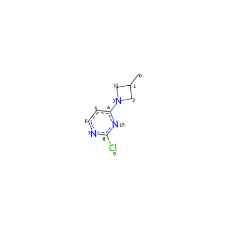 CC1CN(c2ccnc(Cl)n2)C1